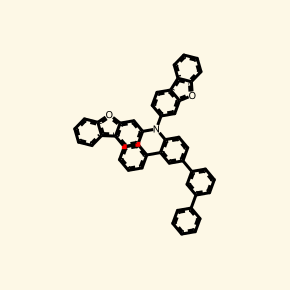 c1ccc(-c2cccc(-c3ccc(N(c4ccc5c(c4)oc4ccccc45)c4ccc5c(c4)oc4ccccc45)c(-c4ccccc4)c3)c2)cc1